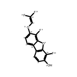 Oc1ccc2c(oc3c(F)c(OC=C(F)F)ccc32)c1F